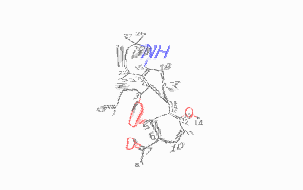 C=CCC1Oc2c(C(C)=O)ccc(OC)c2-c2ccc3c(c21)C(C)=CC(C)(C)N3